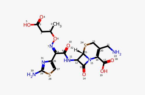 CC(CC(=O)O)O/N=C(\C(=O)NC1C(=O)N2C(C(=O)O)=C(CN)CS[C@@H]12)c1csc(N)n1